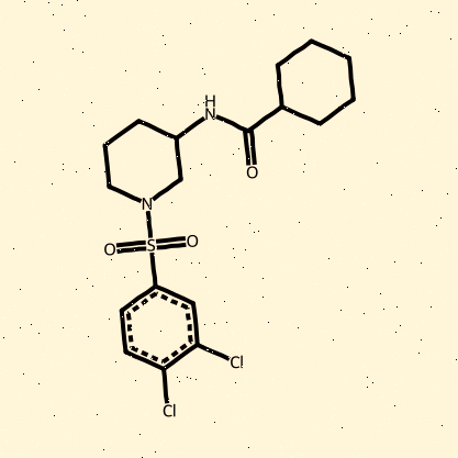 O=C(NC1CCCN(S(=O)(=O)c2ccc(Cl)c(Cl)c2)C1)C1CCCCC1